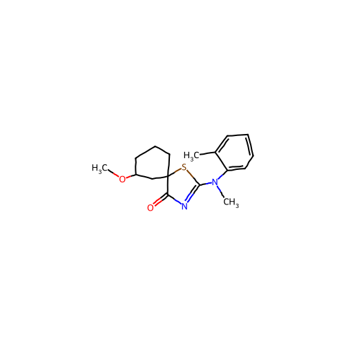 COC1CCCC2(C1)SC(N(C)c1ccccc1C)=NC2=O